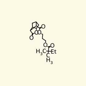 CCC(C)(C)C(=O)OCCCOC(=O)C1C2CC3OC(=O)C1C3C2